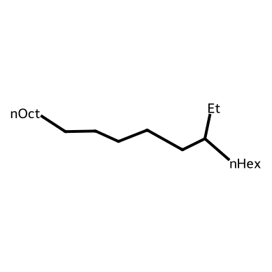 [CH2]CCCCCC(CC)CCCCCCCCCCCCC